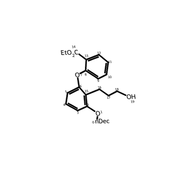 CCCCCCCCCCOc1cccc(Oc2ccccc2C(=O)OCC)c1CCCO